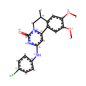 COc1cc2c(cc1OC)C(C)Cn1c-2cc(Nc2ccc(F)cc2)nc1=O